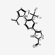 CC(C)C1=CC=C[SH]1c1ccc(C2=COC(C=O)N2)cc1C(F)(F)F